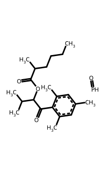 CCCCC(C)C(=O)OC(C(=O)c1c(C)cc(C)cc1C)C(C)C.O=P